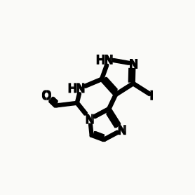 O=CC1Nc2[nH]nc(I)c2-c2nccn21